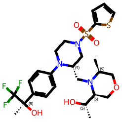 C[C@H](O)[C@@H]1COC[C@H](C)N1C[C@H]1CN(S(=O)(=O)c2cccs2)CCN1c1ccc([C@@](C)(O)C(F)(F)F)cc1